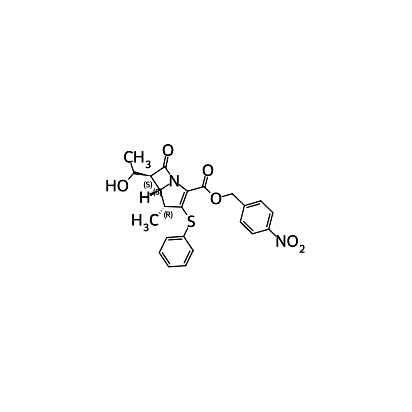 CC(O)[C@H]1C(=O)N2C(C(=O)OCc3ccc([N+](=O)[O-])cc3)=C(Sc3ccccc3)[C@H](C)[C@H]12